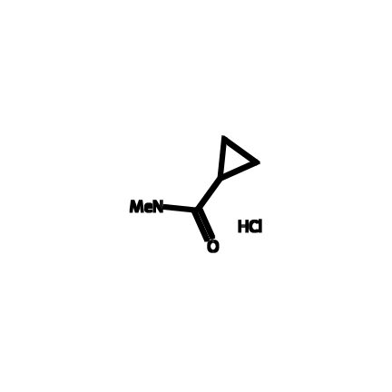 CNC(=O)C1CC1.Cl